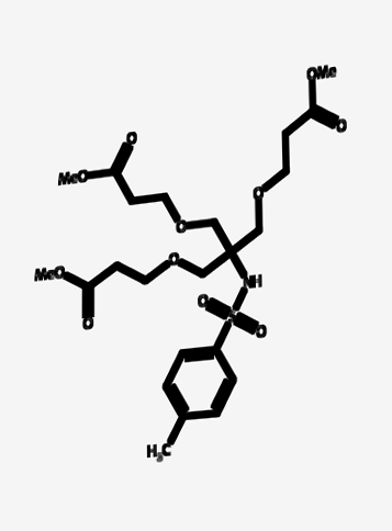 COC(=O)CCOCC(COCCC(=O)OC)(COCCC(=O)OC)NS(=O)(=O)c1ccc(C)cc1